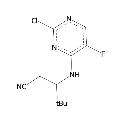 CC(C)(C)C(CC#N)Nc1nc(Cl)ncc1F